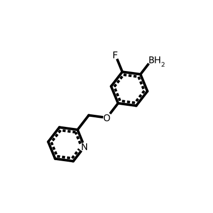 Bc1ccc(OCc2ccccn2)cc1F